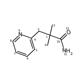 CC(C)(Cc1ccccn1)C(N)=O